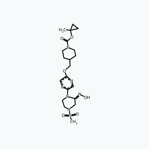 CC1(OC(=O)N2CCC(COc3cnc(N4CCN(S(C)(=O)=O)CC4=NO)cn3)CC2)CC1